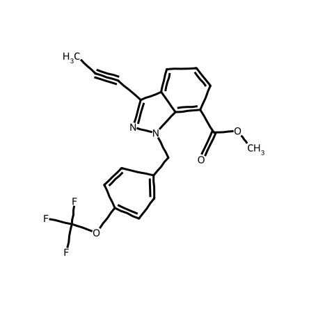 CC#Cc1nn(Cc2ccc(OC(F)(F)F)cc2)c2c(C(=O)OC)cccc12